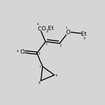 CCOC=C(C(=O)OCC)C(=O)C1CC1